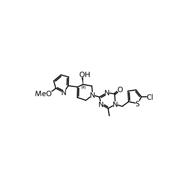 COc1cccc(C2=CCN(c3nc(C)n(Cc4ccc(Cl)s4)c(=O)n3)C[C@@H]2O)n1